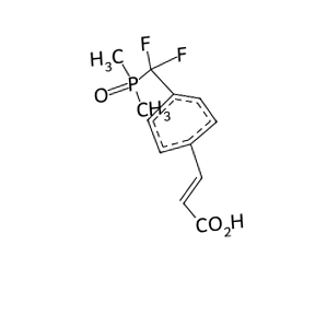 CP(C)(=O)C(F)(F)c1ccc(/C=C/C(=O)O)cc1